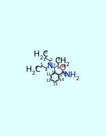 C=CCN(CC=C)C(C=C)c1ccccc1C(N)=O